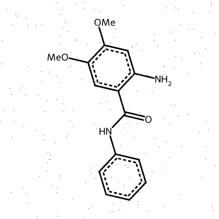 COc1cc(N)c(C(=O)Nc2ccccc2)cc1OC